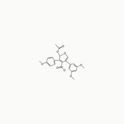 COc1ccc(C2=C([N+](=O)[O-])C(c3cc(OC)cc(OC)c3)=COC2OC(C)=O)cc1